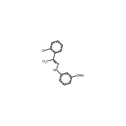 COc1cccc(N/N=C(\C)c2ccccc2Cl)c1